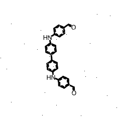 O=Cc1ccc(Nc2ccc(-c3ccc(Nc4ccc(C=O)cc4)cc3)cc2)cc1